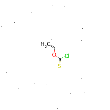 C=COC(=S)Cl